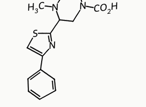 CN1CCN(C(=O)O)CC1c1nc(-c2ccccc2)cs1